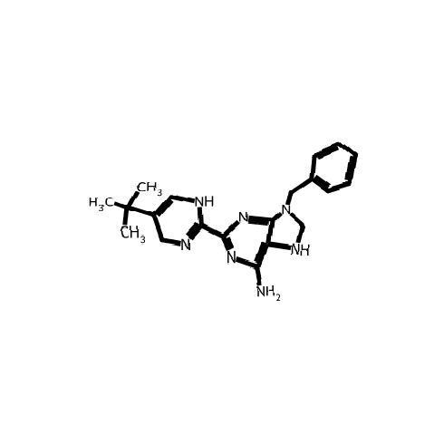 CC(C)(C)C1=CNC(c2nc(N)c3c(n2)N(Cc2ccccc2)CN3)=NC1